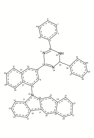 c1ccc(C2=NC(c3cc(-n4c5ccccc5c5cc6ccccc6cc54)c4ccccc4c3)=NC(c3ccccc3)N2)cc1